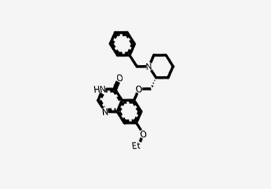 CCOc1cc(OC[C@H]2CCCCN2Cc2ccccc2)c2c(=O)[nH]cnc2c1